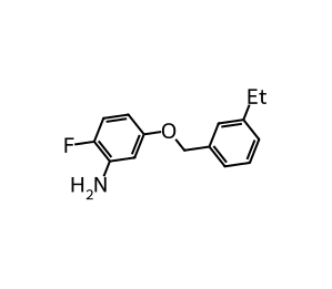 CCc1cccc(COc2ccc(F)c(N)c2)c1